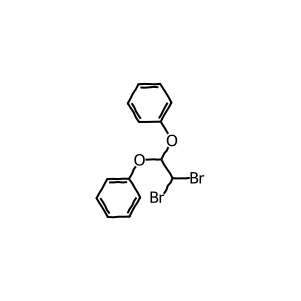 BrC(Br)C(Oc1ccccc1)Oc1ccccc1